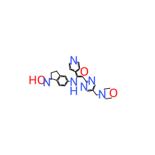 ON=C1CCc2cc(Nc3c(-c4ncc(CN5CCOCC5)cn4)oc4cnccc34)ccc21